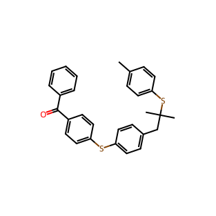 Cc1ccc(SC(C)(C)Cc2ccc(Sc3ccc(C(=O)c4ccccc4)cc3)cc2)cc1